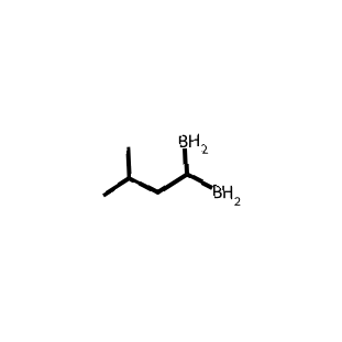 BC(B)CC(C)C